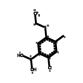 Cc1cc(Cl)c(B(O)O)cc1SCC(F)(F)F